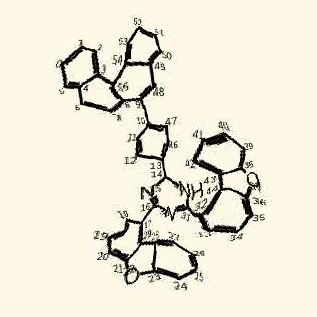 c1ccc2c(c1)ccc1c(-c3ccc(C4N=C(c5cccc6oc7ccccc7c56)N=C(c5cccc6oc7ccccc7c56)N4)cc3)cc3ccccc3c12